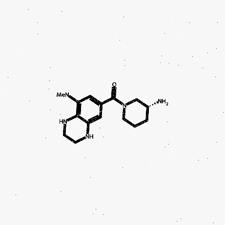 CNc1cc(C(=O)N2CCC[C@@H](N)C2)cc2c1NCCN2